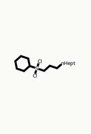 CCCCCCCCCC[Si](Cl)(Cl)C1CCCCC1